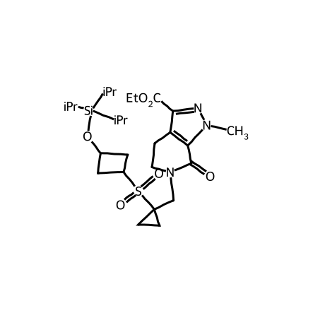 CCOC(=O)c1nn(C)c2c1CCN(CC1(S(=O)(=O)C3CC(O[Si](C(C)C)(C(C)C)C(C)C)C3)CC1)C2=O